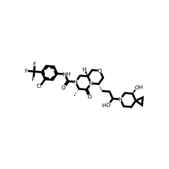 C[C@H]1C(=O)N2[C@@H](CCC(O)N3CCC4(CC4)[C@H](O)C3)COC[C@H]2CN1C(=O)Nc1ccc(C(F)(F)F)c(Cl)c1